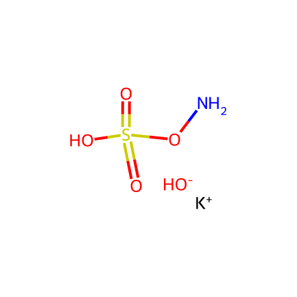 NOS(=O)(=O)O.[K+].[OH-]